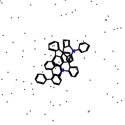 c1ccc(-c2cccc(N(c3ccc4c(c3)C3(c5ccccc5-4)c4ccccc4N(c4ccccc4)c4ccccc43)c3ccccc3-c3ccccc3-c3cccc4ccccc34)c2)cc1